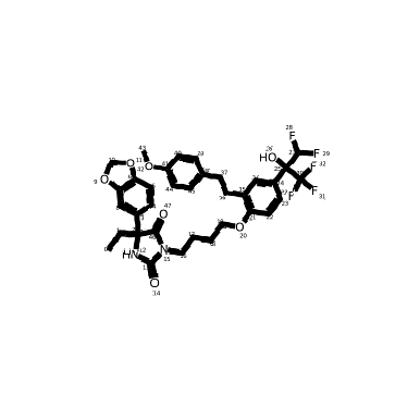 CCC1(c2ccc3c(c2)OCO3)NC(=O)N(CCCCOc2ccc(C(O)(C(F)F)C(F)(F)F)cc2CCc2ccc(OC)cc2)C1=O